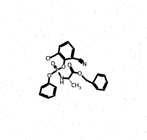 C[C@H](NP(=O)(Oc1ccccc1)Oc1c(Cl)cccc1C#N)C(=O)OCc1ccccc1